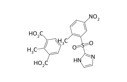 Cc1c(C(=O)O)cccc1C(=O)O.Cc1ccc([N+](=O)[O-])cc1S(=O)(=O)c1ncc[nH]1